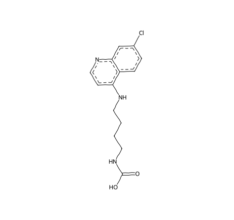 O=C(O)NCCCCNc1ccnc2cc(Cl)ccc12